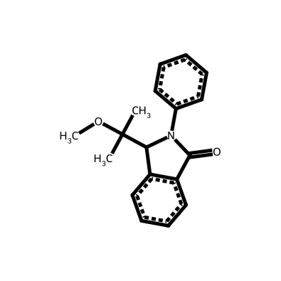 COC(C)(C)C1c2ccccc2C(=O)N1c1ccccc1